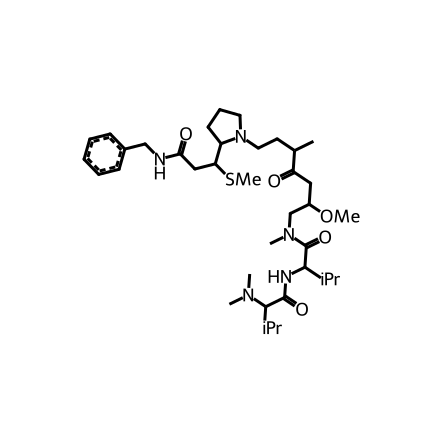 COC(CC(=O)C(C)CCN1CCCC1C(CC(=O)NCc1ccccc1)SC)CN(C)C(=O)C(NC(=O)C(C(C)C)N(C)C)C(C)C